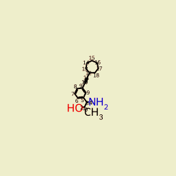 CC(O)C(N)c1cccc(C#CC2CCCCCC2)c1